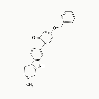 CN1CCc2c([nH]c3cc(-n4ccc(OCc5ccccn5)cc4=O)ccc23)C1